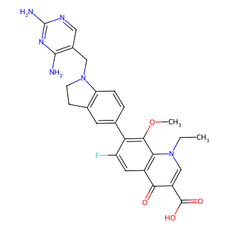 CCn1cc(C(=O)O)c(=O)c2cc(F)c(-c3ccc4c(c3)CCN4Cc3cnc(N)nc3N)c(OC)c21